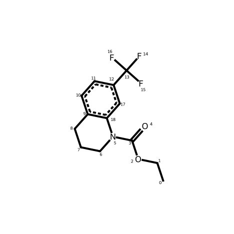 CCOC(=O)N1CCCc2ccc(C(F)(F)F)cc21